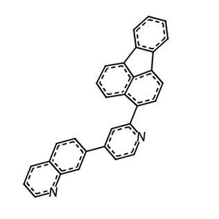 c1ccc2c(c1)-c1cccc3c(-c4cc(-c5ccc6cccnc6c5)ccn4)ccc-2c13